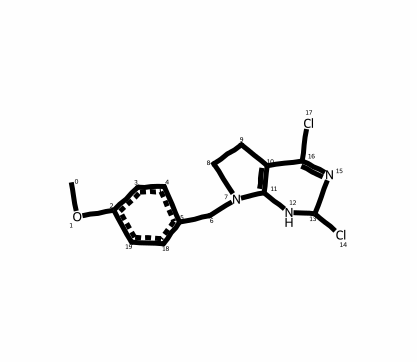 COc1ccc(CN2CCC3=C2NC(Cl)N=C3Cl)cc1